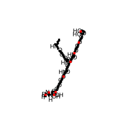 CCCCC(C)NCCOCCOCCOCC(=O)NC(COCCC(=O)NCCOCCOCCOCCOC[C@H]1OC[C@H](Nc2cncc(C(F)(F)F)n2)[C@@H](O)[C@H]1O)COCCC(=O)NCCOCCOCCOCCOC[C@H]1OCC[C@@H](O)[C@H]1O